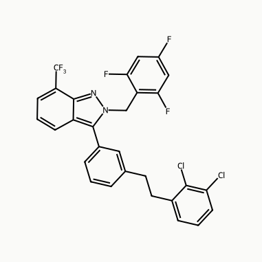 Fc1cc(F)c(Cn2nc3c(C(F)(F)F)cccc3c2-c2cccc(CCc3cccc(Cl)c3Cl)c2)c(F)c1